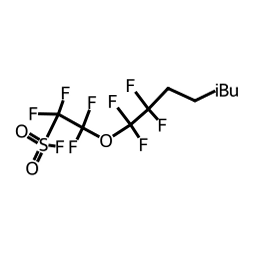 CCC(C)CCC(F)(F)C(F)(F)OC(F)(F)C(F)(F)S(=O)(=O)F